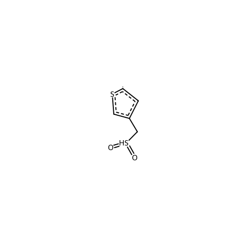 O=[SH](=O)Cc1c[c]sc1